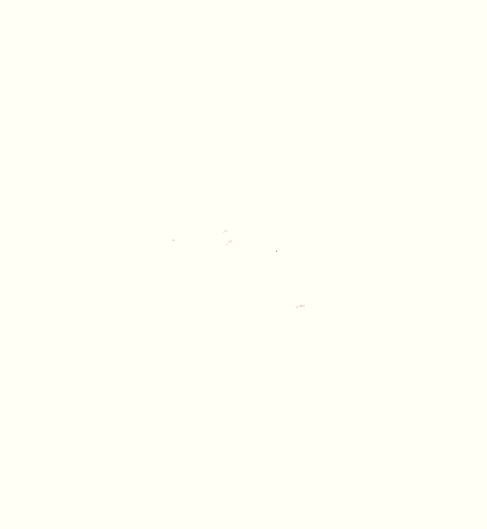 CC(=O)CCC(C)C1CCC2C3CC[C@@H]4CC(O)CC[C@]4(C)C3CCC12C